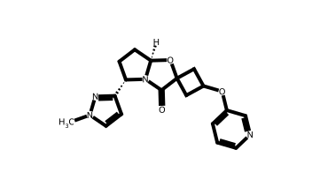 Cn1ccc([C@@H]2CC[C@H]3OC4(CC(Oc5cccnc5)C4)C(=O)N32)n1